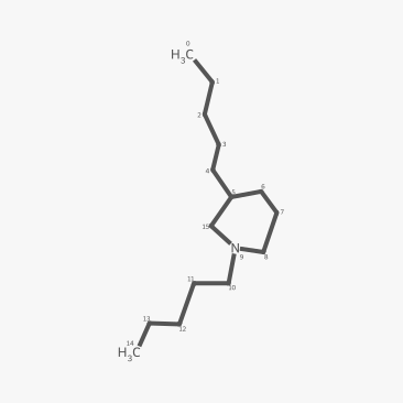 CCCCCC1CCCN(CCCCC)C1